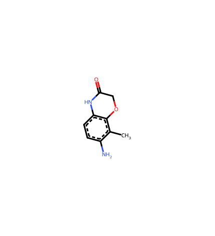 Cc1c(N)ccc2c1OCC(=O)N2